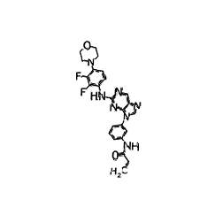 C=CC(=O)Nc1cccc(-n2cnc3cnc(Nc4ccc(N5CCOCC5)c(F)c4F)nc32)c1